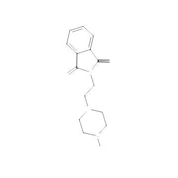 CSN1CCN(CCN2C(=O)c3ccccc3C2=O)CC1